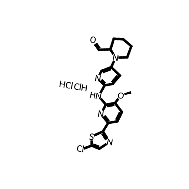 COc1ccc(-c2ncc(Cl)s2)nc1Nc1ccc(N2CCCCC2C=O)cn1.Cl.Cl